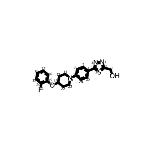 OCc1nnc(-c2ccc(N3CCC(Oc4ccccc4F)CC3)cc2)s1